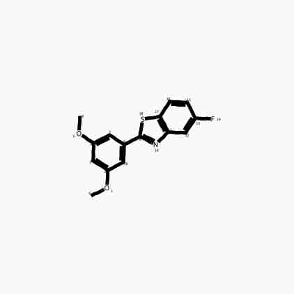 COc1cc(OC)cc(-c2nc3cc(F)ccc3s2)c1